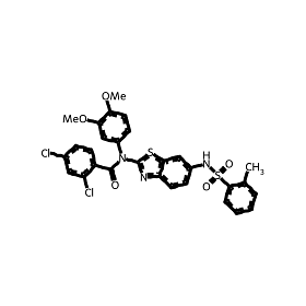 COc1ccc(N(C(=O)c2ccc(Cl)cc2Cl)c2nc3ccc(NS(=O)(=O)c4ccccc4C)cc3s2)cc1OC